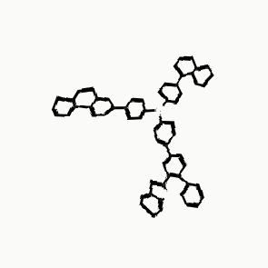 c1ccc(-c2ccc(-c3ccc(N(c4ccc(-c5ccc6c(ccc7ccccc76)c5)cc4)c4ccc(-c5cccc6ccccc56)cc4)cc3)cc2-c2cc3ccccc3o2)cc1